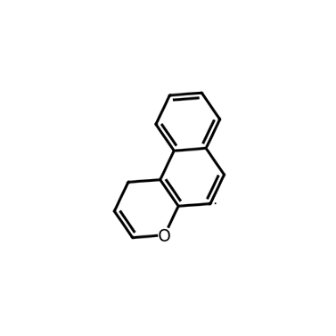 [c]1cc2ccccc2c2c1OC=CC2